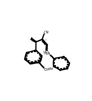 C=C(/C(C#N)=C\Nc1ccccc1)c1cccc(OC)c1